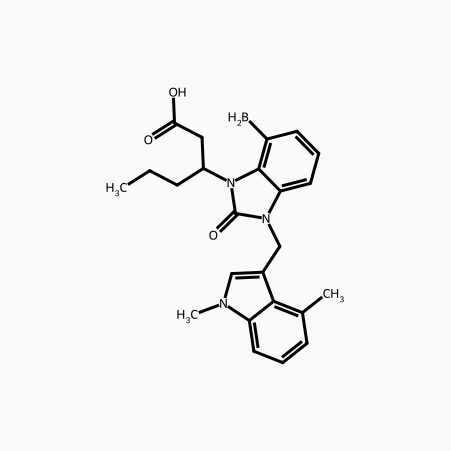 Bc1cccc2c1n(C(CCC)CC(=O)O)c(=O)n2Cc1cn(C)c2cccc(C)c12